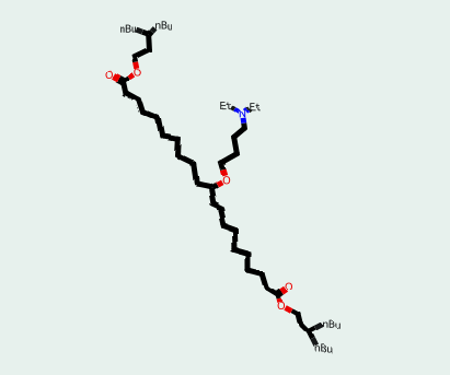 CCCCC(CCCC)CCOC(=O)CCCCCCCCCC(CCCCCCCCCC(=O)OCCC(CCCC)CCCC)OCCCCN(CC)CC